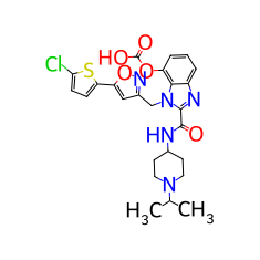 CC(C)N1CCC(NC(=O)c2nc3cccc(OC(=O)O)c3n2Cc2cc(-c3ccc(Cl)s3)on2)CC1